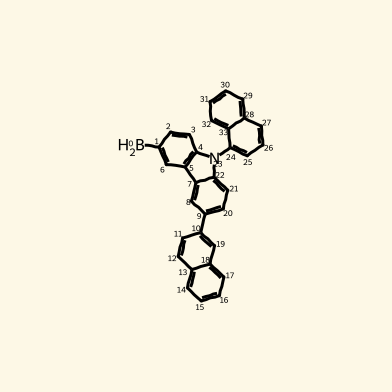 Bc1ccc2c(c1)c1cc(-c3ccc4ccccc4c3)ccc1n2-c1cccc2ccccc12